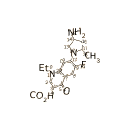 CCn1cc(C(=O)O)c(=O)c2cc(F)c(N3CC(N)CC3C)cc21